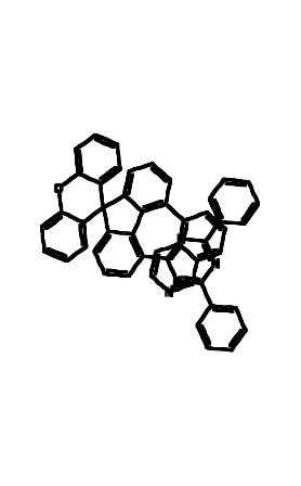 c1ccc(-c2nc(-c3ccccc3)nc(-c3cccc4c3-c3c(-c5cccc6cnccc56)cccc3C43c4ccccc4Oc4ccccc43)n2)cc1